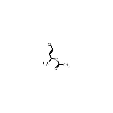 CC(=O)OC(C)/C=C/Cl